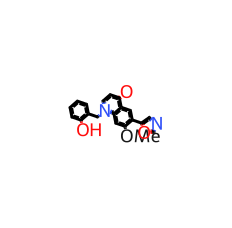 COc1cc2c(cc1-c1cnco1)c(=O)ccn2Cc1ccccc1O